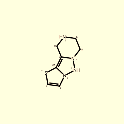 C1=CN2NN3CCNCC3=C2S1